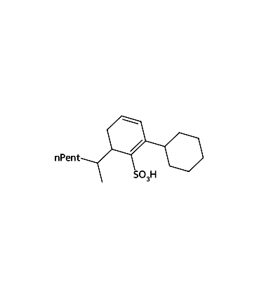 CCCCCC(C)C1CC=CC(C2CCCCC2)=C1S(=O)(=O)O